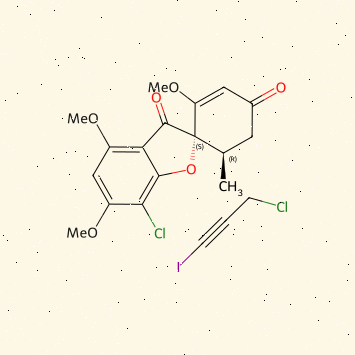 COC1=CC(=O)C[C@@H](C)[C@]12Oc1c(Cl)c(OC)cc(OC)c1C2=O.ClCC#CI